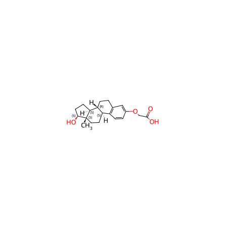 C[C@]12CC[C@@H]3c4ccc(OCC(=O)O)cc4CC[C@H]3[C@@H]1CC[C@@H]2O